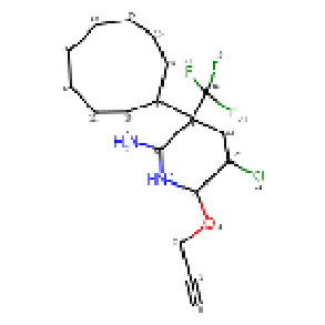 C#CCOC1NC(N)C(C2CCCCCCCC2)(C(F)(F)F)CC1Cl